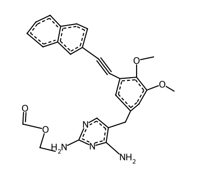 CCOC=O.COc1cc(Cc2cnc(N)nc2N)cc(C#Cc2ccc3ccccc3c2)c1OC